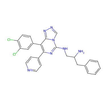 NC(CNc1nc(-c2ccncc2)c(-c2ccc(Cl)c(Cl)c2)c2nncn12)Cc1ccccc1